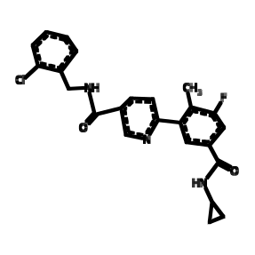 Cc1c(F)cc(C(=O)NC2CC2)cc1-c1ccc(C(=O)NCc2ccccc2Cl)cn1